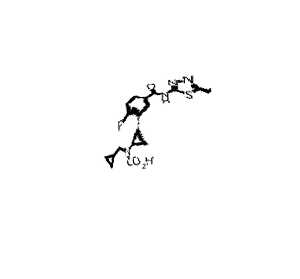 Cc1nnc(NC(=O)c2ccc(F)c([C@@H]3C[C@H]3N(CC3CC3)C(=O)O)c2)s1